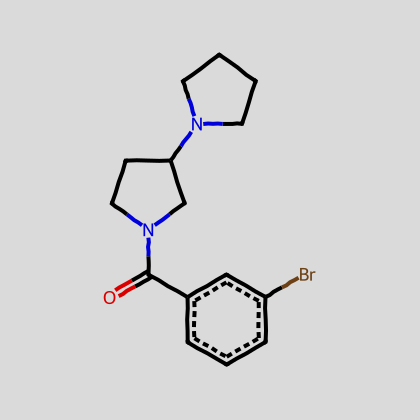 O=C(c1cccc(Br)c1)N1CCC(N2CCCC2)C1